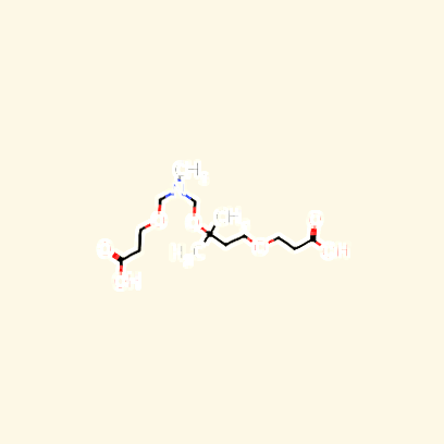 CN(COCCC(=O)O)COC(C)(C)CCOCCC(=O)O